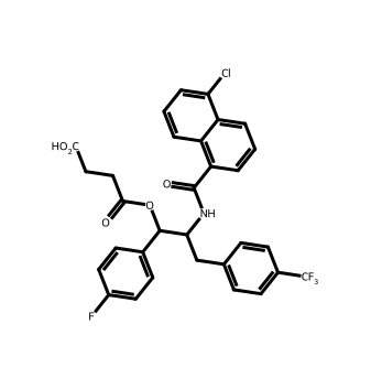 O=C(O)CCC(=O)OC(c1ccc(F)cc1)C(Cc1ccc(C(F)(F)F)cc1)NC(=O)c1cccc2c(Cl)cccc12